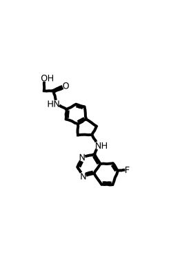 O=C(CO)Nc1ccc2c(c1)CC(Nc1ncnc3ccc(F)cc13)C2